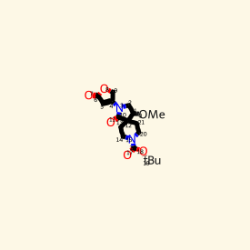 COC1CN(C2=CC(=O)OC2)C(=O)C12CCN(C(=O)OC(C)(C)C)CC2